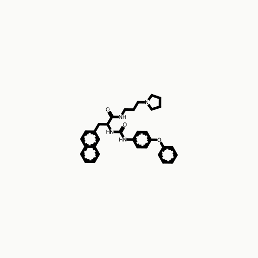 O=C(Nc1ccc(Oc2ccccc2)cc1)NC(Cc1ccc2ccccc2c1)C(=O)NCCCN1CCCC1